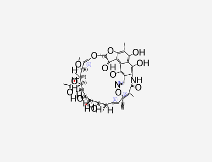 C#CCO/N=C/c1c2c(O)c3c(O)c(C)c4c(c3c1O)C(=O)[C@@](C)(O/C=C/[C@H](OC)[C@@H](C)[C@@H](OC(C)=O)[C@H](C)[C@H](O)[C@H](C)[C@@H](O)[C@@H](C)/C=C/C=C(/C)C(=O)N2)O4